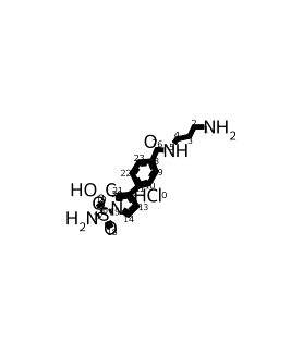 Cl.NCCCNC(=O)c1ccc(-c2ccn(S(N)(=O)=O)c2C(=O)O)cc1